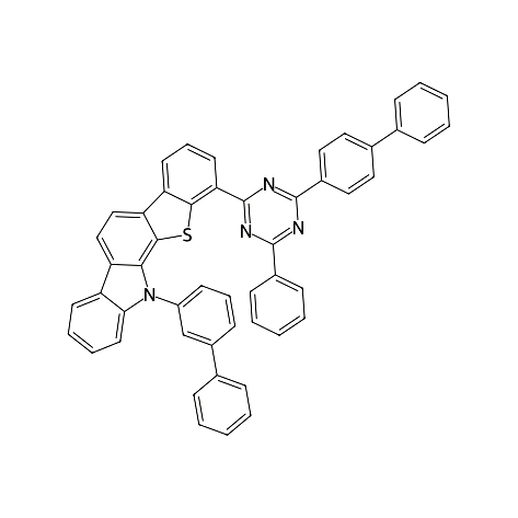 c1ccc(-c2ccc(-c3nc(-c4ccccc4)nc(-c4cccc5c4sc4c5ccc5c6ccccc6n(-c6cccc(-c7ccccc7)c6)c54)n3)cc2)cc1